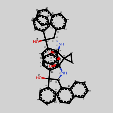 O=C(N[C@@H](c1cccc2ccccc12)C(O)(c1ccccc1)c1ccccc1)C1(C(=O)N[C@@H](c2cccc3ccccc23)C(O)(c2ccccc2)c2ccccc2)CC1